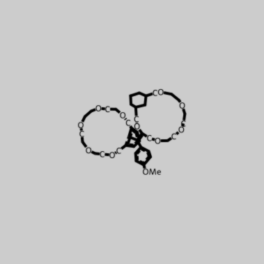 COc1ccc(/C(=C2\COCCOCCOCCOCC3CCCC(CO2)C3)c2c3cccc2COCCOCCOCCOCCOC3)cc1